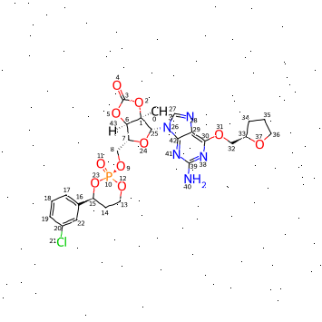 C[C@@]12OC(=O)O[C@@H]1[C@@H](CO[P@@]1(=O)OCC[C@@H](c3cccc(Cl)c3)O1)O[C@H]2n1cnc2c(OC[C@H]3CCCO3)nc(N)nc21